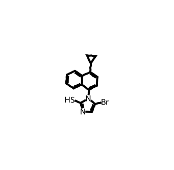 Sc1ncc(Br)n1-c1ccc(C2CC2)c2ccccc12